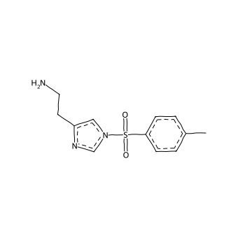 Cc1ccc(S(=O)(=O)n2cnc(CCN)c2)cc1